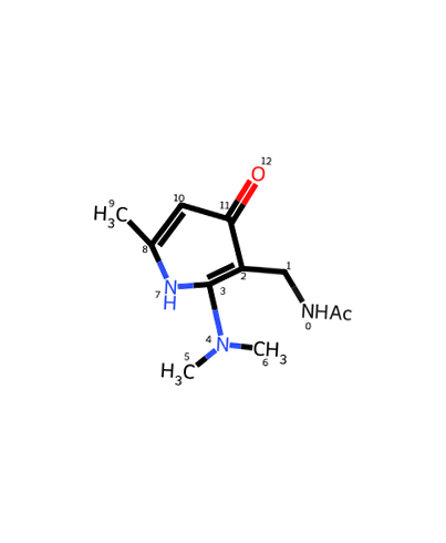 CC(=O)NCc1c(N(C)C)[nH]c(C)cc1=O